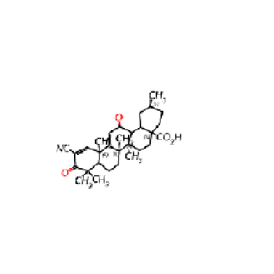 C[C@H]1CC[C@]2(C(=O)O)CC[C@]3(C)C(C(=O)C=C4[C@@]5(C)C=C(C#N)C(=O)C(C)(C)C5CC[C@]43C)C2C1